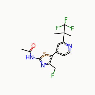 CC(=O)Nc1nc(CF)c(-c2ccnc(C(C)(C)C(F)(F)F)c2)s1